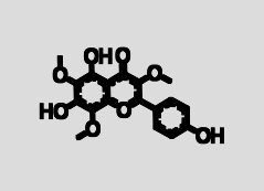 COc1c(O)c(OC)c2oc(-c3ccc(O)cc3)c(OC)c(=O)c2c1O